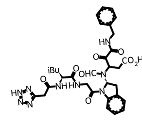 CC[C@H](C)[C@H](NC(=O)Cc1nn[nH]n1)C(=O)NCC(=O)N1c2ccccc2C[C@H]1N(C=O)C(CC(=O)O)C(=O)C(=O)NCc1ccccc1